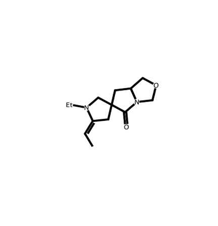 C/C=C1\CC2(CC3COCN3C2=O)CN1CC